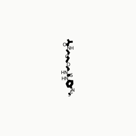 CC(C)C(=O)NCCOCCOCCNC(=S)Nc1ccc(N=C=S)cc1